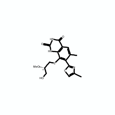 CO[C@@H](CO)CSc1c(-c2nc(C)cs2)c(C)cc2c(=O)[nH]c(=O)[nH]c12